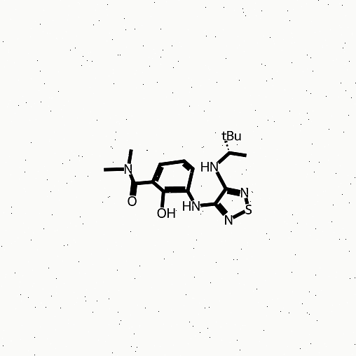 C[C@H](Nc1nsnc1Nc1cccc(C(=O)N(C)C)c1O)C(C)(C)C